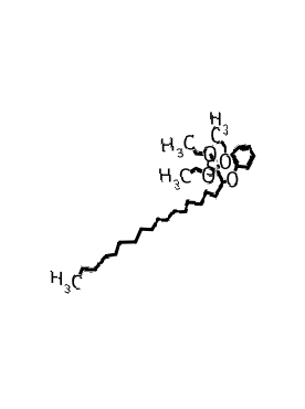 CCCCCCCCCCCCCCCCCC(Oc1ccccc1)[Si](OCC)(OCC)OCC